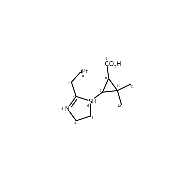 CC(C)CC1=NCC[SH]1C1C(C(=O)O)C1(C)C